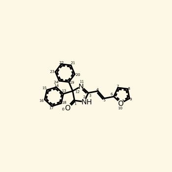 O=C1NC(C=Cc2ccco2)=NC1(c1ccccc1)c1ccccc1